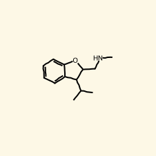 CNCC1Oc2ccccc2C1C(C)C